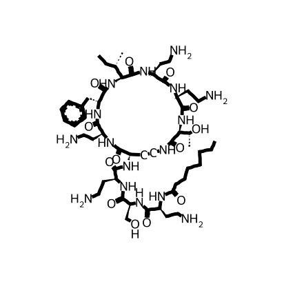 CCCCCCCC(=O)N[C@@H](CCN)C(=O)N[C@@H](CO)C(=O)N[C@@H](CCN)C(=O)N[C@H]1CCNC(=O)[C@H]([C@@H](C)O)NC(=O)[C@H](CCN)NC(=O)[C@H](CCN)NC(=O)[C@H]([C@@H](C)CC)NC(=O)[C@@H](Cc2ccccc2)NC(=O)[C@H](CCN)NC1=O